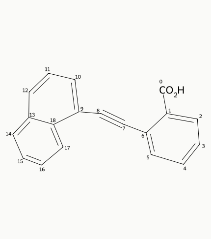 O=C(O)c1ccccc1C#Cc1cccc2ccccc12